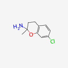 CC1(N)CCc2ccc(Cl)cc2O1